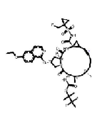 CCOc1ccc2c(O[C@@H]3C[C@H]4C(=O)N[C@]5(C(=O)NS(=O)(=O)C6(CF)CC6)CC5/C=C\CC[C@H](C)C[C@@H](C)[C@H](NC(=O)OC(C)(C)C(C)(F)F)C(=O)N4C3)nccc2c1